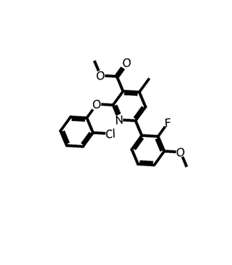 COC(=O)c1c(C)cc(-c2cccc(OC)c2F)nc1Oc1ccccc1Cl